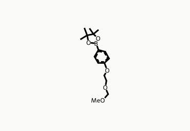 COCOCCOc1ccc(B2OC(C)(C)C(C)(C)O2)cc1